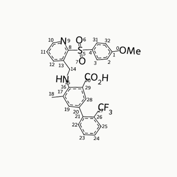 COc1ccc(S(=O)(=O)c2ncccc2CNc2c(C)cc(-c3ccccc3C(F)(F)F)cc2C(=O)O)cc1